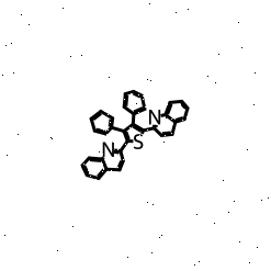 c1ccc(-c2c(-c3ccc4ccccc4n3)sc(-c3ccc4ccccc4n3)c2-c2ccccc2)cc1